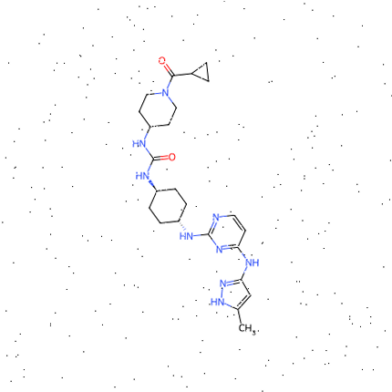 Cc1cc(Nc2ccnc(N[C@H]3CC[C@H](NC(=O)NC4CCN(C(=O)C5CC5)CC4)CC3)n2)n[nH]1